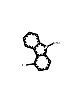 CNn1c2ccccc2c2c(O)cccc21